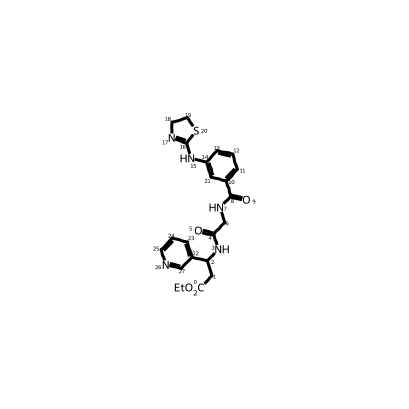 CCOC(=O)CC(NC(=O)CNC(=O)c1cccc(NC2=NCCS2)c1)c1cccnc1